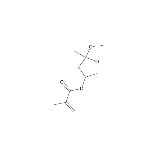 C=C(C)C(=O)OC1COC(C)(OC)C1